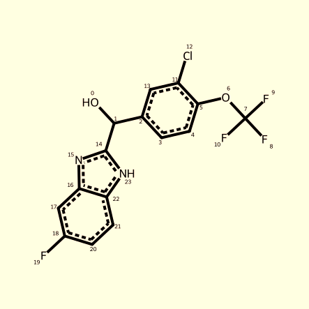 OC(c1ccc(OC(F)(F)F)c(Cl)c1)c1nc2cc(F)ccc2[nH]1